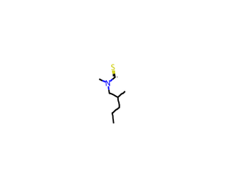 CCCC(C)CN(C)[C]=S